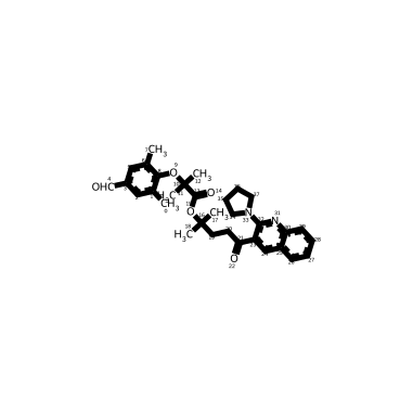 Cc1cc(C=O)cc(C)c1OC(C)(C)C(=O)OC(C)(C)CCC(=O)c1cc2ccccc2nc1N1CCCC1